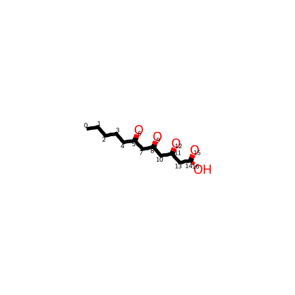 CCCCCC(=O)CC(=O)CC(=O)CC(=O)O